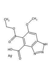 CCOC(=O)c1c(OC)cc2[nH]nnc2c1C(=O)O.[Ag]